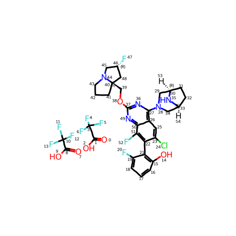 O=C(O)C(F)(F)F.O=C(O)C(F)(F)F.Oc1cccc(F)c1-c1c(Cl)cc2c(N3C[C@H]4CC[C@@H](C3)N4)nc(OC[C@@]34CCCN3C[C@H](F)C4)nc2c1F